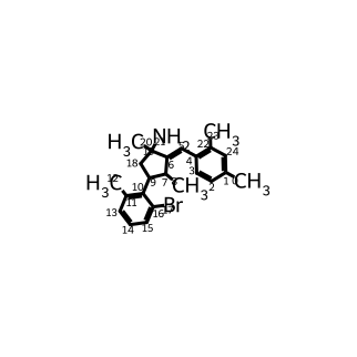 Cc1ccc(/C=C2\C(C)C(c3c(C)cccc3Br)CC2(C)N)c(C)c1